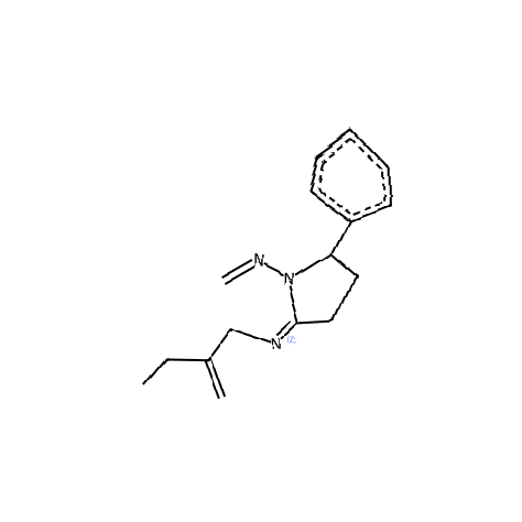 C=NN1/C(=N\CC(=C)CC)CCC1c1ccccc1